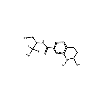 CCCC1CCc2ccc(C(=O)N[C@H](CO)C(C)(F)F)nc2N1C(C)=O